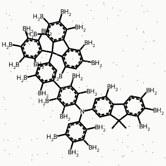 Bc1cc(C2(c3c(B)c(B)c(B)c(B)c3B)c3c(B)cc(B)c(B)c3-c3c(B)c(B)c(B)c(B)c32)cc(-c2c(B)c(B)c(N(c3cc(B)c4c(c3)C(C)(C)c3c-4cc(B)c(B)c3B)c3cc(B)c(B)c(B)c3B)c(B)c2B)c1B